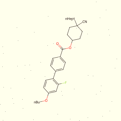 CCCCCCCC1(C#N)CCC(OC(=O)c2ccc(-c3ccc(OCCCC)cc3F)cc2)CC1